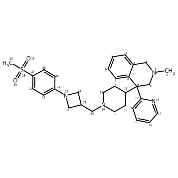 CN1Cc2ccccc2C(c2ccccn2)(C2CCN(CC3CN(c4ccc(S(C)(=O)=O)cc4)C3)CC2)C1